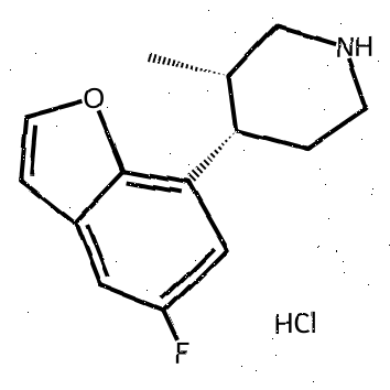 C[C@@H]1CNCC[C@@H]1c1cc(F)cc2ccoc12.Cl